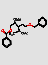 COC(COC(=O)c1ccccc1)C(CCOCc1ccccc1)[C@@H](C)OC(C)=O